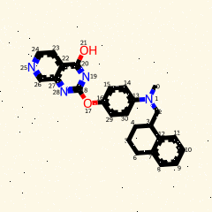 CN(CC1CCCc2ccccc21)c1ccc(Oc2nc(O)c3ccncc3n2)cc1